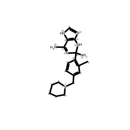 Cc1cc(CN2CCCCC2)ccc1C1(N)N=C(N)c2[nH]cnc2N1